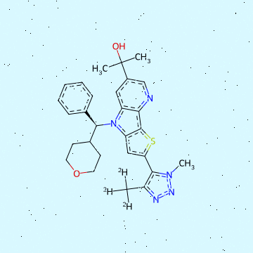 [2H]C([2H])([2H])c1nnn(C)c1-c1cc2c(s1)c1ncc(C(C)(C)O)cc1n2[C@H](c1ccccc1)C1CCOCC1